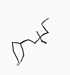 CCCC(C)(C)CCC1CCNC1